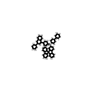 c1ccc(-c2ccc(N(c3ccc(-c4cc(-c5ccccc5)cc5ccccc45)cc3)c3ccc4c(c3)C(c3ccccc3)(c3ccccc3)c3ccccc3-4)cc2)cc1